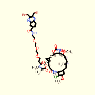 COc1cc2cc(c1Cl)N(C)C(=O)C[C@H](OC(=O)[C@@H](C)N(C)C(=O)CCOCCOCCOCCNC(=O)c1ccc3nc(CBr)c(CBr)nc3c1)[C@]1(C)CC1C[C@@H]1C[C@@](O)(NC(=O)O1)[C@H](OC)/C=C/C=C(\C)C2